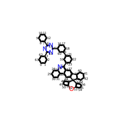 c1ccc(-c2nc(-c3ccccc3)nc(-c3cccc(-c4cccc(-c5nc6ccccc6c6cc7c(cc56)-c5ccccc5C75c6ccccc6Oc6ccccc65)c4)c3)n2)cc1